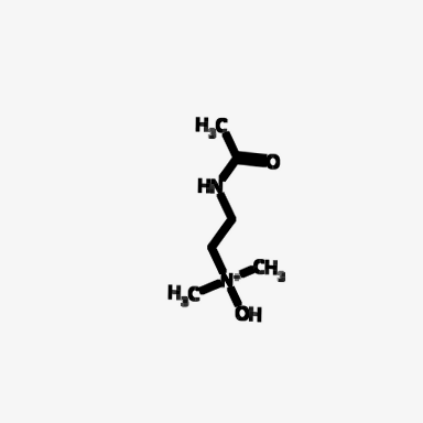 CC(=O)NCC[N+](C)(C)O